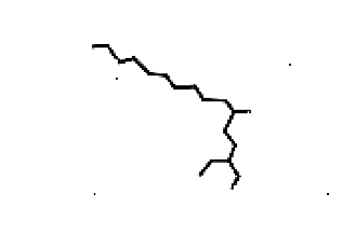 CCCCCCCCCC[C](C)CCC(CC)CC